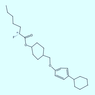 CCCCC[C@@H](F)C(=O)OC1CCC(COc2ccc(C3CC[CH]CC3)cc2)CC1